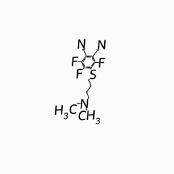 CCN(CC)CCCCSc1c(F)c(F)c(C#N)c(C#N)c1F